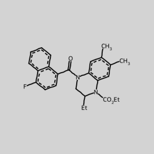 CCOC(=O)N1c2cc(C)c(C)cc2N(C(=O)c2ccc(F)c3ccccc23)CC1CC